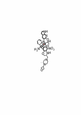 C[C@@H]1CN(C[C@H]2COc3cc(S(=O)(=O)C4(N5c6cc7cc[nH]c7nc6O[C@@H]6COC[C@@H]65)C=CC=CC4C(N)=O)cc([N+](=O)[O-])c3N2)CCN1C1COC1